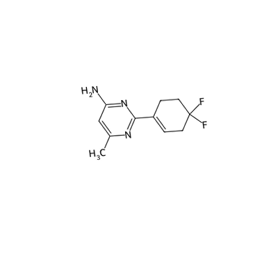 Cc1cc(N)nc(C2=CCC(F)(F)CC2)n1